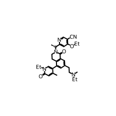 CCOc1cc([C@H](C)N2CCc3c(cc(CCN(C)CC)cc3-c3cn(CC)c(=O)cc3C)C2=O)ncc1C#N